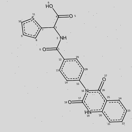 O=C(NC(C(=O)O)c1cccs1)c1ccc(-n2c(=O)[nH]c3ccccc3c2=O)cc1